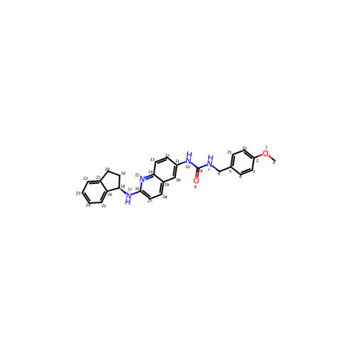 COc1ccc(CNC(=O)Nc2ccc3nc(N[C@@H]4CCc5ccccc54)ccc3c2)cc1